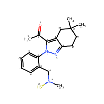 CC(=O)c1c2c(nn1-c1ccccc1CN(C)S)CCC(C)(C)C2